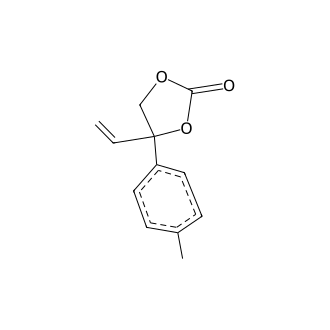 C=CC1(c2ccc(C)cc2)COC(=O)O1